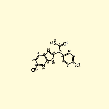 O=C(S)C(c1ccc(Cl)cc1)c1nc2ccc(Cl)nc2s1